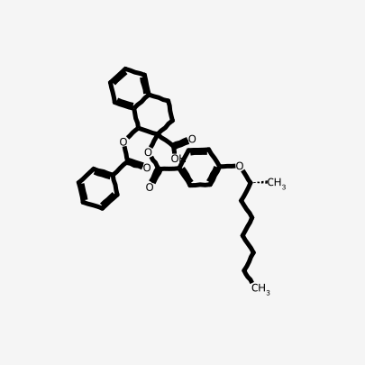 CCCCCC[C@@H](C)Oc1ccc(C(=O)OC2(C(=O)O)CCc3ccccc3C2OC(=O)c2ccccc2)cc1